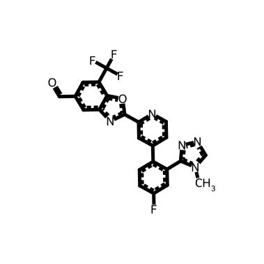 Cn1cnnc1-c1cc(F)ccc1-c1ccnc(-c2nc3cc(C=O)cc(C(F)(F)F)c3o2)c1